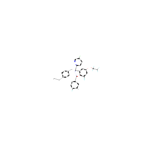 O=C(O)CCc1ccc(C[C@](NC(=O)c2ccc(F)c(C(F)(F)F)c2)(c2cc(F)cc(OC(F)(F)C(F)F)c2)c2ccc(Cl)cn2)cc1